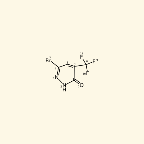 O=c1[nH]nc(Br)cc1C(F)(F)F